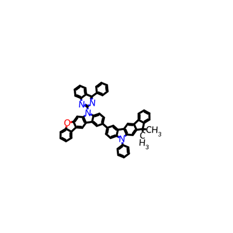 CC1(C)c2ccccc2-c2cc3c4cc(-c5ccc6c(c5)c5cc7c(cc5n6-c5nc(-c6ccccc6)c6ccccc6n5)oc5ccccc57)ccc4n(-c4ccccc4)c3cc21